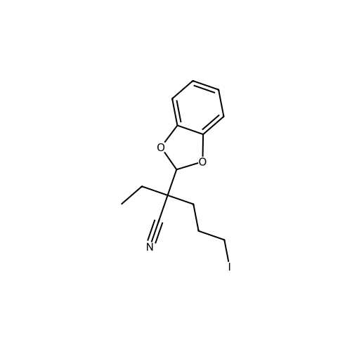 CCC(C#N)(CCCI)C1Oc2ccccc2O1